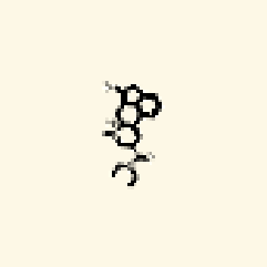 CCN(CC)C(=O)[C@@H]1C=C2c3cccc4c3C(=C(Br)C4)C[C@H]2N(C)C1